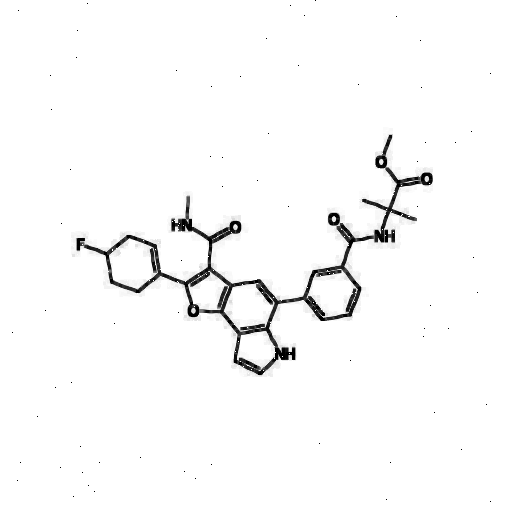 CNC(=O)c1c(C2=CCC(F)CC2)oc2c1cc(-c1cccc(C(=O)NC(C)(C)C(=O)OC)c1)c1[nH]ccc12